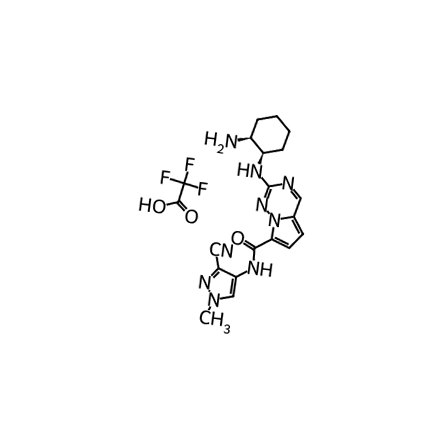 Cn1cc(NC(=O)c2ccc3cnc(N[C@@H]4CCCC[C@@H]4N)nn23)c(C#N)n1.O=C(O)C(F)(F)F